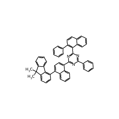 CC1(C)c2ccccc2-c2c(-c3ccc(-c4nc(-c5ccccc5)nc(-c5c(-c6ccccc6)ccc6ccccc56)n4)c4ccccc34)cccc21